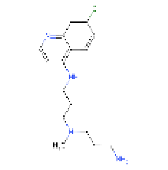 CN(CCCN)CCCNc1ccnc2cc(Cl)ccc12